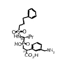 CC(C)[C@H](NS(=O)(=O)CCCc1ccccc1)P(=O)(O)C[C@H](C(=O)O)c1cccc(CN)c1